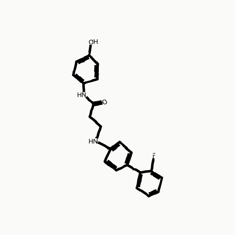 O=C(CCNc1ccc(-c2ccccc2F)cc1)Nc1ccc(O)cc1